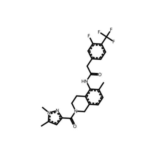 Cc1ccc2c(c1NC(=O)Cc1ccc(C(F)(F)F)c(F)c1)CCN(C(=O)c1cc(C)n(C)n1)C2